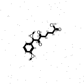 COc1cccc(C(OC)C(=O)C(=O)CCCC(=O)Cl)c1